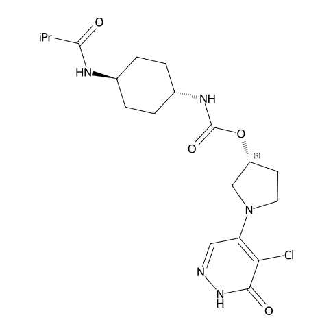 CC(C)C(=O)N[C@H]1CC[C@H](NC(=O)O[C@@H]2CCN(c3cn[nH]c(=O)c3Cl)C2)CC1